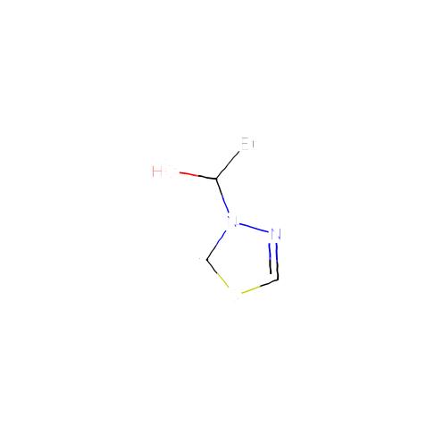 CCC(O)N1CSC=N1